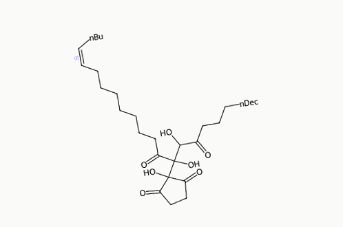 CCCC/C=C\CCCCCCCC(=O)C(O)(C(O)C(=O)CCCCCCCCCCCCC)C1(O)C(=O)CCC1=O